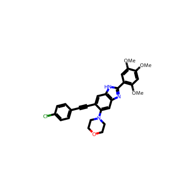 COc1cc(OC)c(-c2nc3cc(N4CCOCC4)c(C#Cc4ccc(Cl)cc4)cc3[nH]2)cc1OC